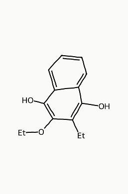 CCOc1c(CC)c(O)c2ccccc2c1O